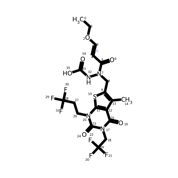 CCO/C=C/C(=O)N(Cc1sc2c(c1C)c(=O)n(CC(F)(F)F)c(=O)n2CCC(F)(F)F)NC(=O)O